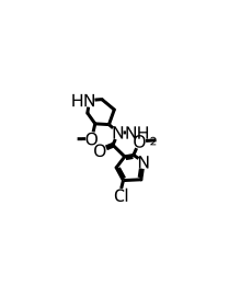 COc1ncc(Cl)cc1C(=O)N(N)C1CCNCC1OC